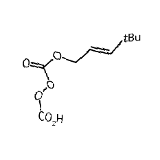 CC(C)(C)C=CCOC(=O)OOC(=O)O